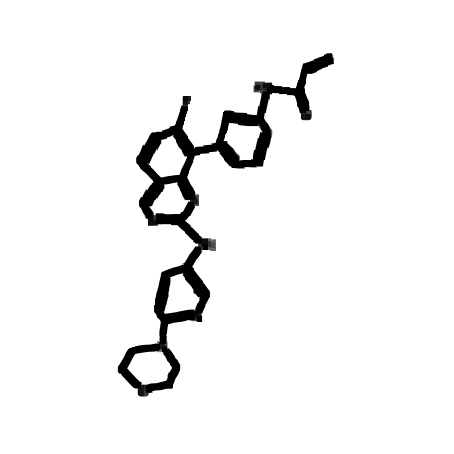 C=CC(=O)Nc1cccc(-c2c(F)ccc3cnc(Nc4ccc(N5CCOCC5)nc4)nc23)c1